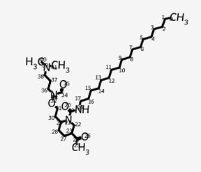 CCCCCCCCCCCCCCCCCCNC(=O)N1CC(C(C)=O)CCC1CCON(C=O)CCCN(C)C